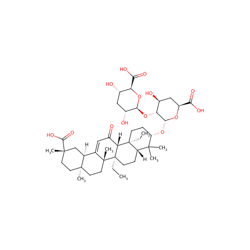 CC[C@]12CC[C@H](O[C@H]3O[C@H](C(=O)O)C[C@H](O)[C@H]3O[C@@H]3O[C@H](C(=O)O)[C@@H](O)C[C@H]3O)C(C)(C)[C@@H]1CC[C@]1(CC)[C@@H]2C(=O)C=C2[C@@H]3C[C@@](C)(C(=O)O)CC[C@]3(C)CC[C@]21C